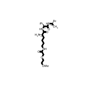 COCCOCC(=O)NCCCC[C@H](N)C(=O)N[C@H](C(=O)N[C@@H](C)C(C)=O)C(C)C